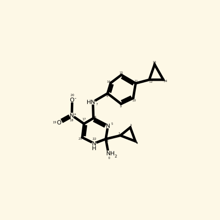 NC1(C2CC2)N=C(Nc2ccc(C3CC3)cc2)C([N+](=O)[O-])=CN1